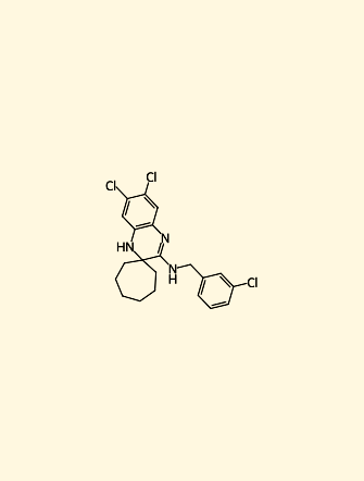 Clc1cccc(CNC2=Nc3cc(Cl)c(Cl)cc3NC23CCCCCC3)c1